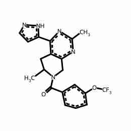 Cc1nc2c(c(-c3ccn[nH]3)n1)CC(C)N(C(=O)c1cccc(OC(F)(F)F)c1)C2